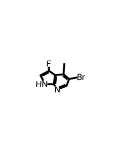 Cc1c(Br)cnc2[nH]cc(F)c12